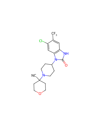 N#CC1(N2CCC(n3c(=O)[nH]c4cc(C(F)(F)F)c(Cl)cc43)CC2)CCOCC1